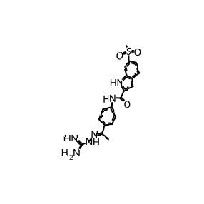 C/C(=N\NC(=N)N)c1ccc(NC(=O)c2cc3ccc(S(C)(=O)=O)cc3[nH]2)cc1